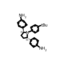 CC(C)(C)c1ccc(N2[C@H](c3ccc(N)cc3)CC[C@H]2c2ccc(N)cc2)cc1